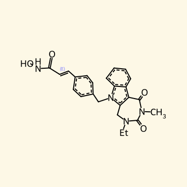 CCN1Cc2c(c3ccccc3n2Cc2ccc(/C=C/C(=O)NO)cc2)C(=O)N(C)C1=O